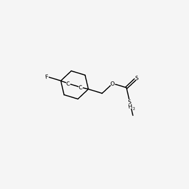 C[SH2]C(=S)OCC12CCC(F)(CC1)CC2